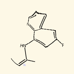 C/C=C(/C)Nc1cc(F)cc2cccnc12